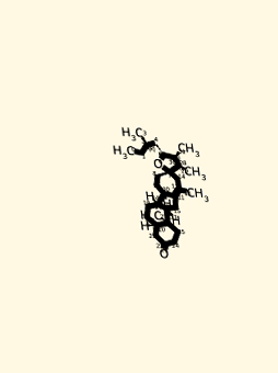 CC[C@@H](C)C[C@H]1O[C@]2(CC[C@@H]3C(=C(C)C2)C[C@H]2[C@H]3CC[C@@H]3CC(=O)CC[C@@]32C)[C@H](C)[C@@H]1C